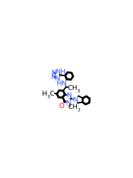 Cc1cc(C(C)Nc2ccccc2-c2nnn[nH]2)c2nc(N3Cc4ccccc4C3)n(C)c(=O)c2c1